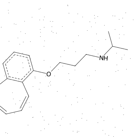 CC(C)NCCCOc1cccc2c1C=CC=CC2